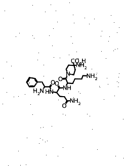 NCCCCC(NC(=O)C(CCC(N)=O)NC(=O)C(N)Cc1ccccc1)C(=O)N1CCC(N)(C(=O)O)CC1